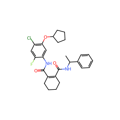 CC(NC(=O)C1=C(C(=O)Nc2cc(OC3CCCC3)c(Cl)cc2F)CCCC1)c1ccccc1